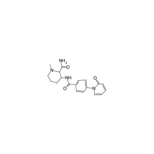 CN1CC[CH]C(NC(=O)c2ccc(-n3ccccc3=O)cc2)C1C(N)=O